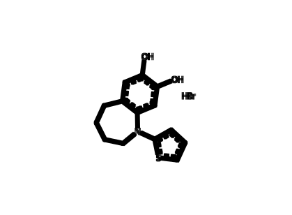 Br.Oc1cc2c(cc1O)N(c1cccs1)CCCC2